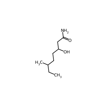 CCC(C)CCC(O)CC(N)=O